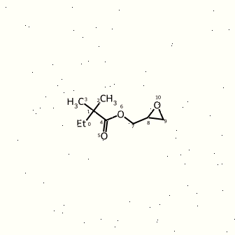 CCC(C)(C)C(=O)OCC1CO1